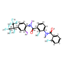 CN(C(=O)c1ccccc1F)c1cccc(C(=O)N(I)c2ccc(C(F)(C(F)(F)F)C(F)(F)F)cc2I)c1F